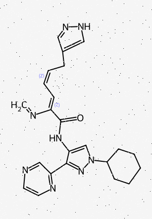 C=N/C(=C\C=C/Cc1cn[nH]c1)C(=O)Nc1cn(C2CCCCC2)nc1-c1cnccn1